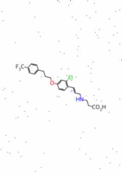 O=C(O)CCNC/C=C/c1ccc(OCCCc2ccc(C(F)(F)F)cc2)cc1Cl